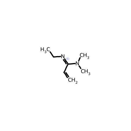 C=C/C(=N\CC)N(C)C